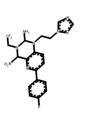 NC1c2nc(-c3ccc(F)cc3)ccc2N(CCn2cncn2)C(N)N1CC(F)(F)F